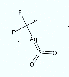 O=[S](=O)=[Ag][C](F)(F)F